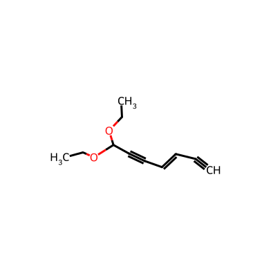 C#CC=CC#CC(OCC)OCC